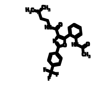 CC(=O)Nc1ccccc1-c1oc(-c2ccc(C(F)(F)F)cc2)nc1C(=O)NCCN(C)C